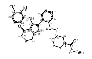 CCCCOC(=O)N1CCO[C@H](COc2cnccc2-c2[nH]c3c(c2Nc2cccc(Cl)c2CC)C(=O)NCC3)C1